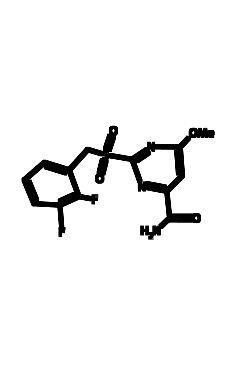 COc1cc(C(N)=O)nc(S(=O)(=O)Cc2cccc(F)c2F)n1